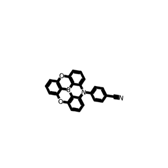 N#Cc1ccc(N2c3cccc4c3B3c5c(cccc5Oc5cccc2c53)O4)cc1